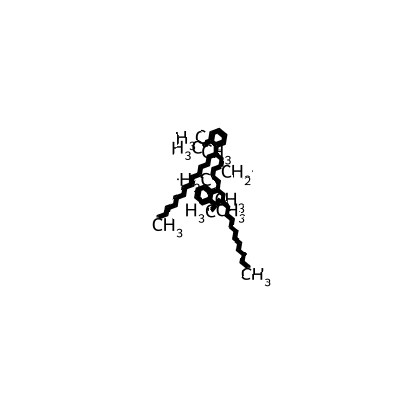 [CH2]C(CC([CH2])CC(CCCCCCCCCCCCCC)c1ccccc1C(C)(C)C)CC(CCCCCCCCCCCCCC)c1ccccc1C(C)(C)C